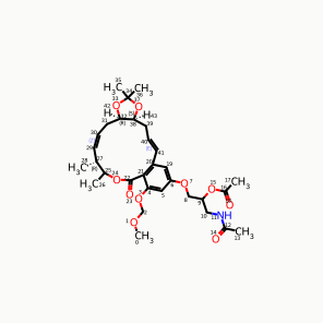 COCOc1cc(OCC(CNC(C)=O)OC(C)=O)cc2c1C(=O)OC(C)[C@H](C)/C=C\C[C@H]1OC(C)(C)O[C@H]1C/C=C/2